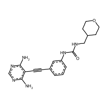 Nc1ncnc(N)c1C#Cc1cccc(NC(=O)NCC2CCOCC2)c1